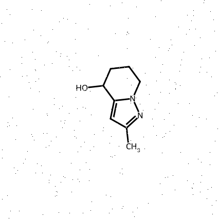 Cc1cc2n(n1)CCCC2O